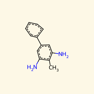 Cc1c(N)cc(-c2ccccc2)cc1N